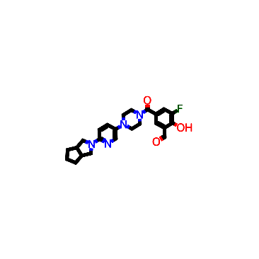 O=Cc1cc(C(=O)N2CCN(c3ccc(N4CC5CCCC5C4)nc3)CC2)cc(F)c1O